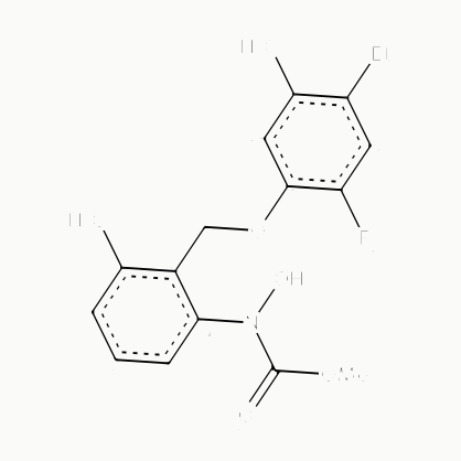 CCc1cc(F)c(OCc2c(C)cccc2N(O)C(=O)OC)cc1C